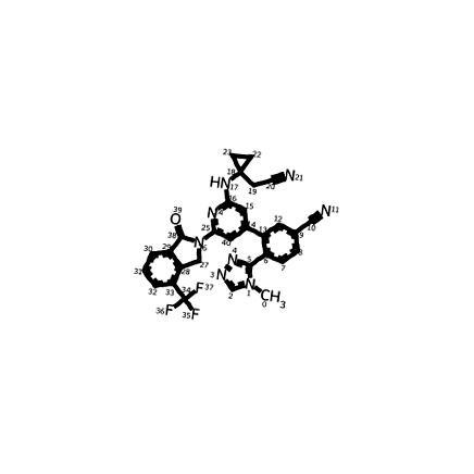 Cn1cnnc1-c1ccc(C#N)cc1-c1cc(NC2(CC#N)CC2)nc(N2Cc3c(cccc3C(F)(F)F)C2=O)c1